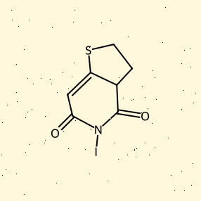 O=C1C=C2SCCC2C(=O)N1I